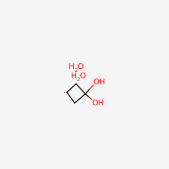 O.O.OC1(O)C[CH]C1